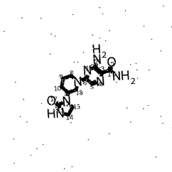 NC(=O)c1ncc(N2CCCC(N3CCNC3=O)C2)nc1N